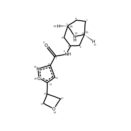 O=C(NC1C[C@H]2CC[C@@H](C1)N2)c1cc(C2COC2)on1